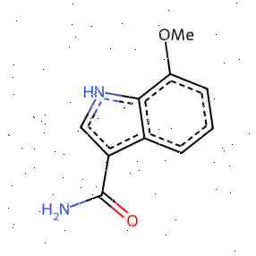 COc1cccc2c(C(N)=O)c[nH]c12